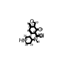 CN(C(=O)C1C=CC2=COCC2C1=O)C1CCNCC1.Cl